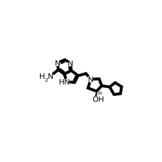 Nc1ncnc2c(CN3CC(C4CCCC4)[C@@H](O)C3)c[nH]c12